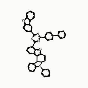 C1=CC2C(c3ccccc3N2c2ccccc2)c2c1oc1c(-c3nc(-c4ccc(-c5ccccc5)cc4)nc(-c4ccc5oc6ccccc6c5c4)n3)cccc21